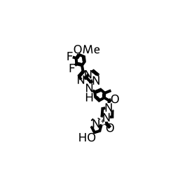 COc1ccc(-c2cnc3c(Nc4ccc(C(=O)N5CCN(C(=O)[C@@H]6C[C@@H](O)C[N+]6(C)C)CC5)c(C)c4)nccn23)c(F)c1F